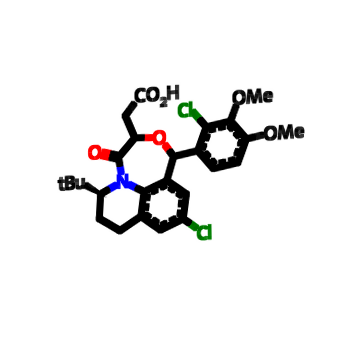 COc1ccc(C2OC(CC(=O)O)C(=O)N3c4c(cc(Cl)cc42)CC[C@H]3C(C)(C)C)c(Cl)c1OC